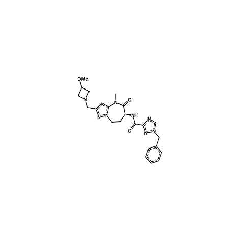 COC1CN(Cc2cc3n(n2)CC[C@H](NC(=O)c2ncn(Cc4ccccc4)n2)C(=O)N3C)C1